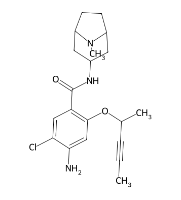 CC#CC(C)Oc1cc(N)c(Cl)cc1C(=O)NC1CC2CCC(C1)N2C